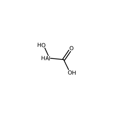 O=[C](O)[AlH][OH]